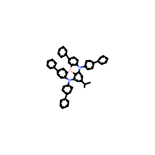 CC(C)c1cc2c3c(c1)N(c1ccc(-c4ccccc4)cc1)c1ccc(-c4ccccc4)cc1B3c1cc(-c3ccccc3)ccc1N2c1ccc(-c2ccccc2)cc1